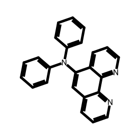 c1ccc(N(c2ccccc2)c2cc3cccnc3c3ncccc23)cc1